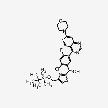 CC(C)(C)[Si](C)(C)OCc1csc(C(O)c2cc(-c3ncnc4cc(N5CCOCC5)ncc34)c(F)cc2Cl)n1